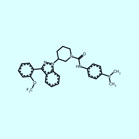 CN(C)c1ccc(NC(=O)N2CCCC(n3nc(-c4ccccc4OC(F)(F)F)c4ccccc43)C2)cc1